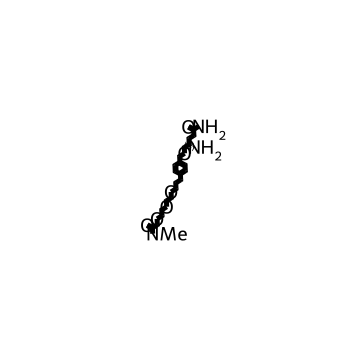 CNC(=O)COCCOCCOCCCc1ccc(COC[C@@H](N)CCC(N)=O)cc1